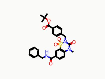 CN1C(=O)N(Cc2ccc(C(=O)OC(C)(C)C)cc2)S(=O)(=O)c2cc(C(=O)NCc3ccccc3)ccc21